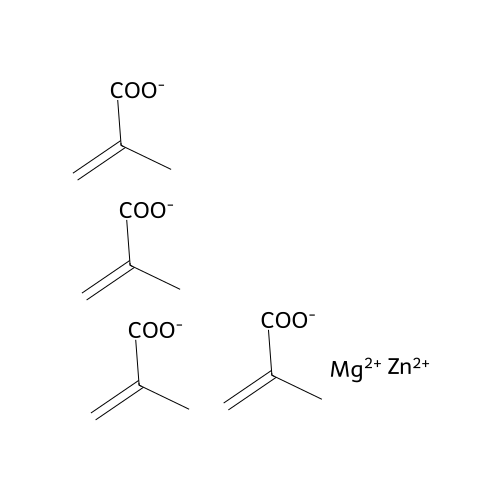 C=C(C)C(=O)[O-].C=C(C)C(=O)[O-].C=C(C)C(=O)[O-].C=C(C)C(=O)[O-].[Mg+2].[Zn+2]